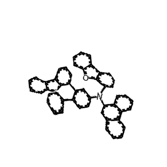 c1ccc(-c2ccc(N(c3cc4ccccc4c4ccccc34)c3cccc4c3oc3ccccc34)cc2-c2cccc3c2sc2ccccc23)cc1